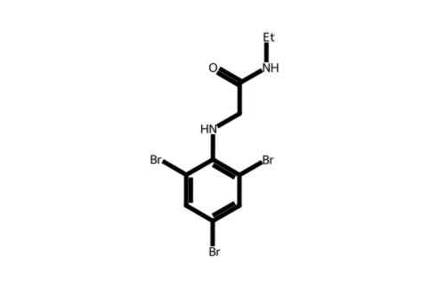 CCNC(=O)CNc1c(Br)cc(Br)cc1Br